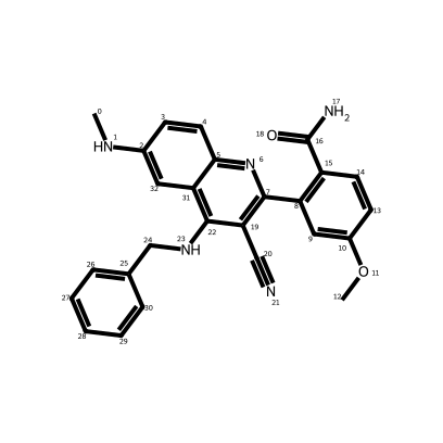 CNc1ccc2nc(-c3cc(OC)ccc3C(N)=O)c(C#N)c(NCc3ccccc3)c2c1